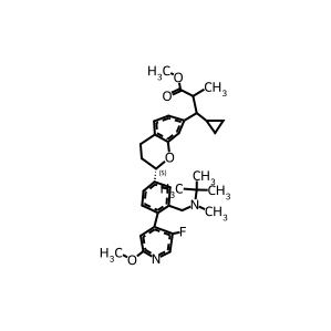 COC(=O)C(C)C(c1ccc2c(c1)O[C@H](c1ccc(-c3cc(OC)ncc3F)c(CN(C)C(C)(C)C)c1)CC2)C1CC1